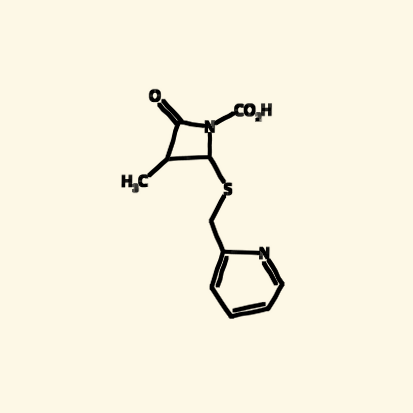 CC1C(=O)N(C(=O)O)C1SCc1ccccn1